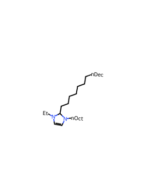 CCCCCCCCCCCCCCCCCC1N(CC)C=CN1CCCCCCCC